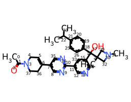 CC(=O)N1CC=C(c2cnc(-c3cncc(C(O)(c4ccc(C(C)C)cc4)C4(C)CN(C)C4)c3)nc2)CC1